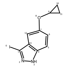 Ic1n[nH]c2ccc(OC3CC3)cc12